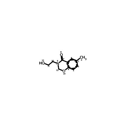 Cc1ccc2c(c1)C(=O)N(CCO)CO2